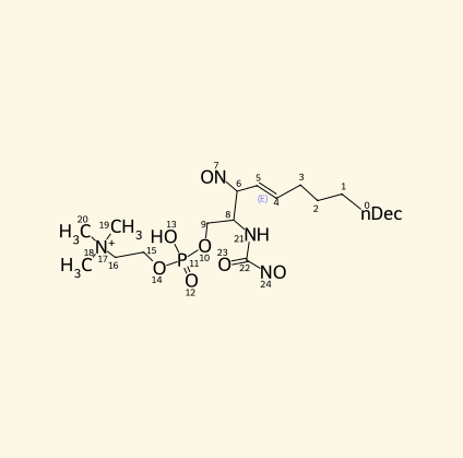 CCCCCCCCCCCCC/C=C/C(N=O)C(COP(=O)(O)OCC[N+](C)(C)C)NC(=O)N=O